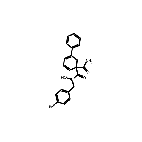 NC(=O)C1(C(=O)N(O)Cc2ccc(Br)cc2)C=CC=C(c2ccccc2)C1